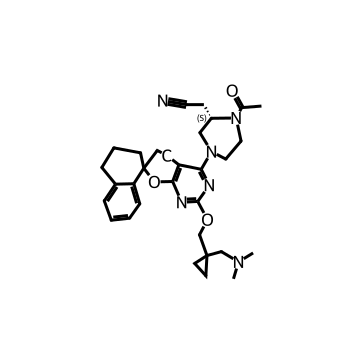 CC(=O)N1CCN(c2nc(OCC3(CN(C)C)CC3)nc3c2CCC2(CCCc4ccccc42)O3)C[C@@H]1CC#N